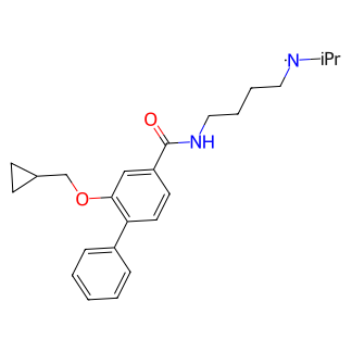 CC(C)[N]CCCCNC(=O)c1ccc(-c2ccccc2)c(OCC2CC2)c1